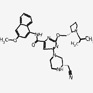 COc1cc(NC(=O)c2cc(N3CCN[C@@H](CC#N)C3)nc(OC[C@@H]3CCCN3C(C)C)n2)c2ccccc2c1